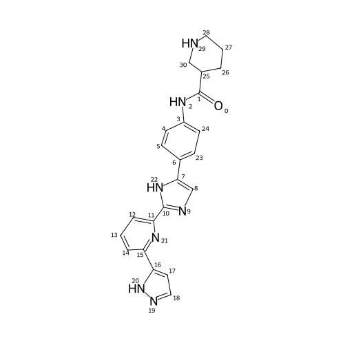 O=C(Nc1ccc(-c2cnc(-c3cccc(-c4ccn[nH]4)n3)[nH]2)cc1)C1CCCNC1